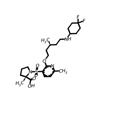 Cc1ccc(S(=O)(=O)N2CCC[C@@]2(C)C(=O)O)c(OCC[C@@H](C)CCNC2CCC(F)(F)CC2)n1